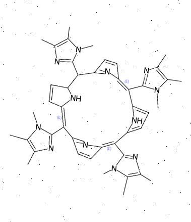 Cc1nc(/C2=C3\C=CC(N3)C(c3nc(C)c(C)n3C)C3=N/C(=C(/c4nc(C)c(C)n4C)c4ccc([nH]4)/C(c4nc(C)c(C)n4C)=C4/C=CC2=N4)C=C3)n(C)c1C